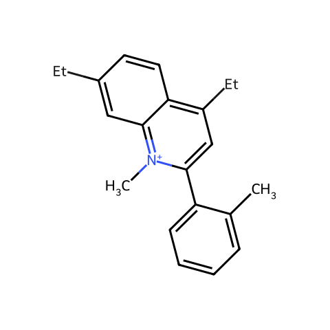 CCc1ccc2c(CC)cc(-c3ccccc3C)[n+](C)c2c1